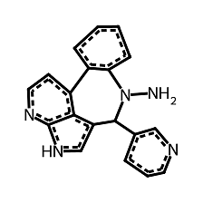 NN1c2ccccc2-c2ccnc3[nH]cc(c23)C1c1cccnc1